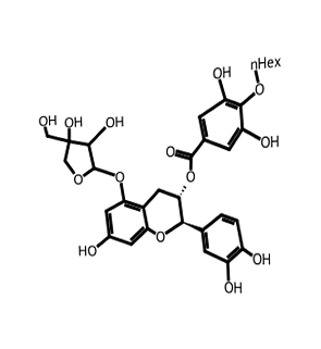 CCCCCCOc1c(O)cc(C(=O)O[C@H]2Cc3c(OC4OCC(O)(CO)C4O)cc(O)cc3O[C@@H]2c2ccc(O)c(O)c2)cc1O